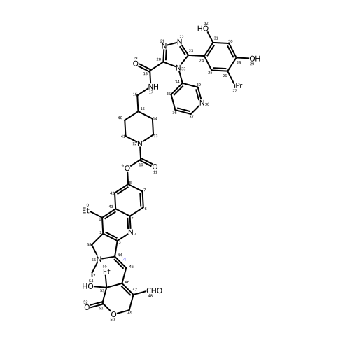 CCc1c2c(nc3ccc(OC(=O)N4CCC(CNC(=O)c5nnc(-c6cc(C(C)C)c(O)cc6O)n5-c5cccnc5)CC4)cc13)/C(=C/C1=C(C=O)COC(=O)C1(O)CC)N(C)C2